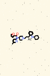 CC(=O)N(c1ccccc1CCCN1CCC(N(C(=O)c2ccco2)c2ccc(C)cn2)CC1)C1CCCCC1